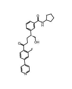 O=C(NC1CCCC1)c1cccc([C@@H](CO)CCC(=O)c2ccc(-c3ccncc3)cc2F)c1